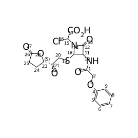 O=C(COc1ccccc1)NC1C(=O)N(C(Cl)C(=O)O)C1SCC(=O)[C@@H]1CCC(=O)O1